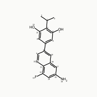 CC(C)c1c(O)cc(-c2cnc3c(F)cc(N)cc3c2)cc1O